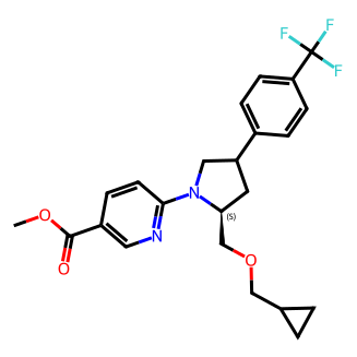 COC(=O)c1ccc(N2CC(c3ccc(C(F)(F)F)cc3)C[C@H]2COCC2CC2)nc1